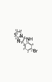 Brc1ccc2c(c1)[nH]c1c2nc2sccn21